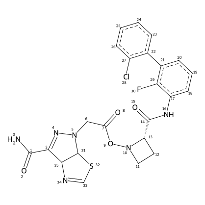 NC(=O)C1=NN(CC(=O)ON2CC[C@H]2C(=O)Nc2cccc(-c3ccccc3Cl)c2F)C2SC=NC12